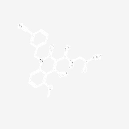 COc1cccc2c1c(O)c(C(=O)NCC(=O)O)c(=O)n2Cc1cccc(C#N)c1